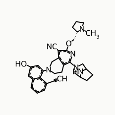 C#Cc1cccc2cc(O)cc(N3CCc4c(N5CC6CCC(C5)N6)nc(OC[C@@H]5CCCN5C)c(C#N)c4C3)c12